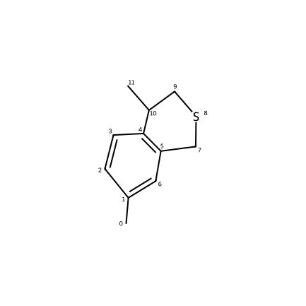 Cc1ccc2c(c1)CSCC2C